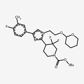 Cc1cc(-c2cn(CCOC3CCCCO3)c(C3CCN(C(=O)OC(C)(C)C)CC3(F)F)n2)ccc1F